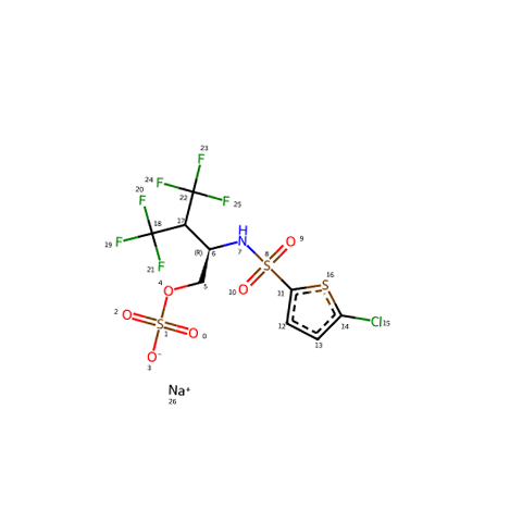 O=S(=O)([O-])OC[C@H](NS(=O)(=O)c1ccc(Cl)s1)C(C(F)(F)F)C(F)(F)F.[Na+]